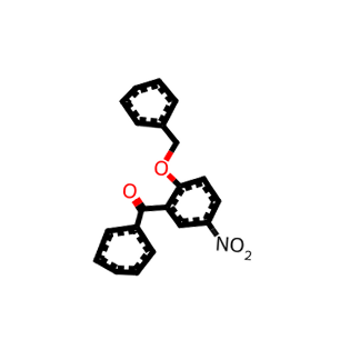 O=C(c1ccccc1)c1cc([N+](=O)[O-])ccc1OCc1ccccc1